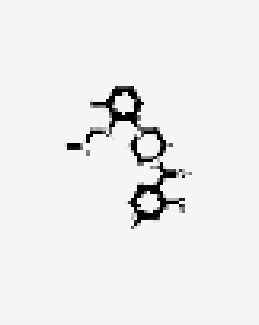 COCOc1c(C)cccc1N1CCN(C(=O)c2ccc(F)cc2Cl)CC1